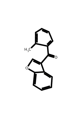 Cc1ccccc1C(=O)c1coc2ccccc12